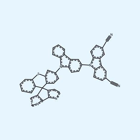 N#Cc1ccc2c(c1)c1cc(C#N)ccc1n2-c1ccc2c(c1)c1ccccc1n2-c1ccc2c(c1)Sc1ccccc1C21c2cccnc2-c2ncccc21